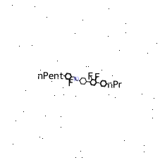 CCCCCc1ccc(/C=C/C2CCC(c3ccc(-c4ccc(CCC)cc4)c(F)c3F)CC2)c(F)c1